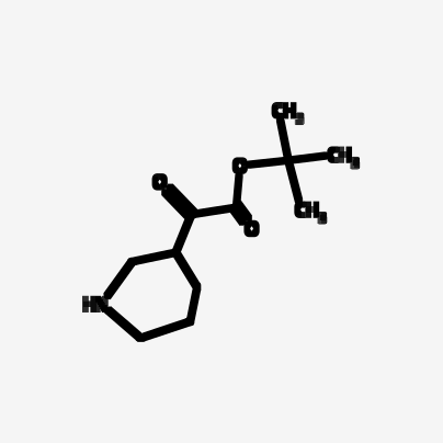 CC(C)(C)OC(=O)C(=O)C1CCCNC1